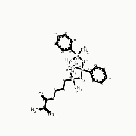 C=C(C)C(=O)OCCC[Si](C)(C)O[Si](C)(O[Si](C)(C)c1ccccc1)c1ccccc1